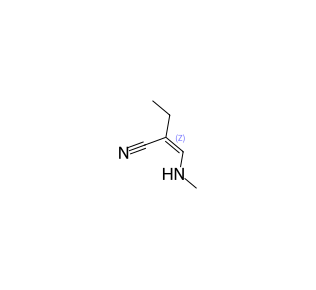 CC/C(C#N)=C/NC